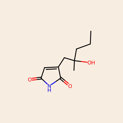 CCCC(C)(O)CC1=CC(=O)NC1=O